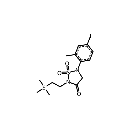 Cc1cc(I)ccc1N1CC(=O)N(CC[Si](C)(C)C)S1(=O)=O